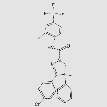 Cc1cc(C(F)(F)F)ccc1NC(=O)N1CC(C)(c2ccccc2)C(c2ccc(Cl)cc2)=N1